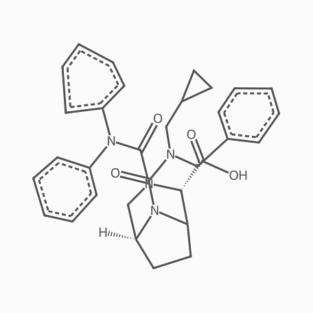 O=C(O)[C@@H]1C2CC[C@@H](CN1C(=O)N(c1ccccc1)c1ccccc1)N2C(=O)N(Cc1ccccc1)CC1CC1